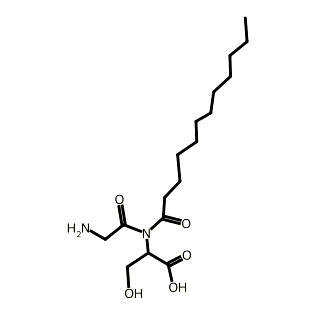 CCCCCCCCCCCC(=O)N(C(=O)CN)C(CO)C(=O)O